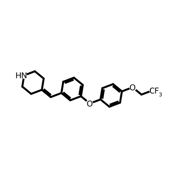 FC(F)(F)COc1ccc(Oc2cccc(C=C3CCNCC3)c2)cc1